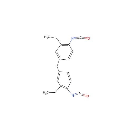 CCc1cc(Cc2ccc(N=C=O)c(CC)c2)ccc1N=C=O